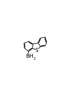 Bc1cccc2c1sc1ccccc12